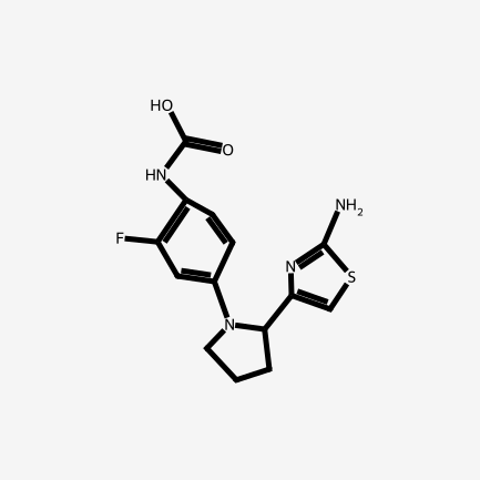 Nc1nc(C2CCCN2c2ccc(NC(=O)O)c(F)c2)cs1